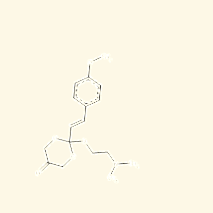 COc1ccc(C=CC2(OCCN(C)C)OCC(=O)CO2)cc1